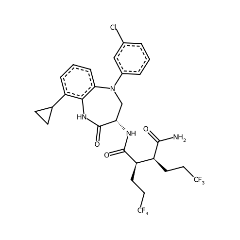 NC(=O)[C@@H](CCC(F)(F)F)[C@@H](CCC(F)(F)F)C(=O)N[C@H]1CN(c2cccc(Cl)c2)c2cccc(C3CC3)c2NC1=O